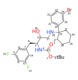 CC(C)(C)OC(=O)N[C@@H](Cc1cc(F)cc(F)c1)C(O)CNC1(c2cccc(Br)c2)CCCCC1